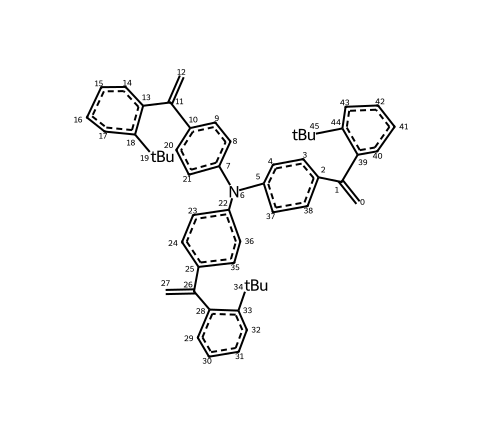 C=C(c1ccc(N(c2ccc(C(=C)c3ccccc3C(C)(C)C)cc2)c2ccc(C(=C)c3ccccc3C(C)(C)C)cc2)cc1)c1ccccc1C(C)(C)C